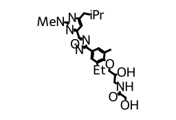 CCc1cc(-c2noc(-c3cc(CC(C)C)nc(NC)n3)n2)cc(C)c1OCC(O)CNC(=O)CO